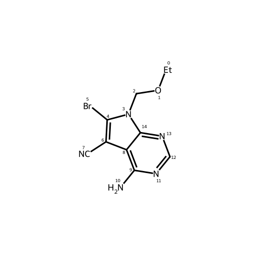 CCOCn1c(Br)c(C#N)c2c(N)ncnc21